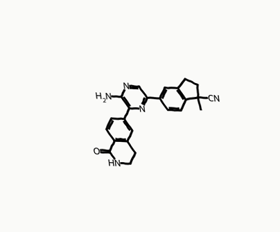 CC1(C#N)CCc2cc(-c3cnc(N)c(-c4ccc5c(c4)CCNC5=O)n3)ccc21